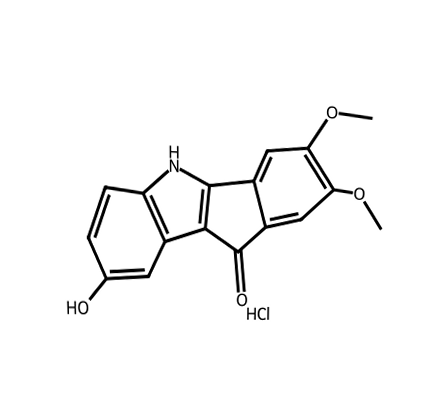 COc1cc2c(cc1OC)-c1[nH]c3ccc(O)cc3c1C2=O.Cl